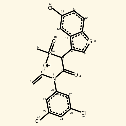 C=CN(C(=O)C(c1csc2ccc(Cl)cc12)P(C)(=O)O)c1cc(Cl)cc(Cl)c1